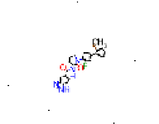 CSc1ccccc1-c1ccc(N2CCCC(NC(=O)c3ccc4[nH]cnc4c3)C2=O)c(F)c1